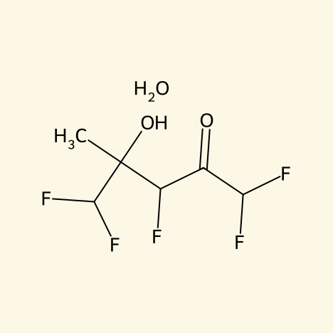 CC(O)(C(F)F)C(F)C(=O)C(F)F.O